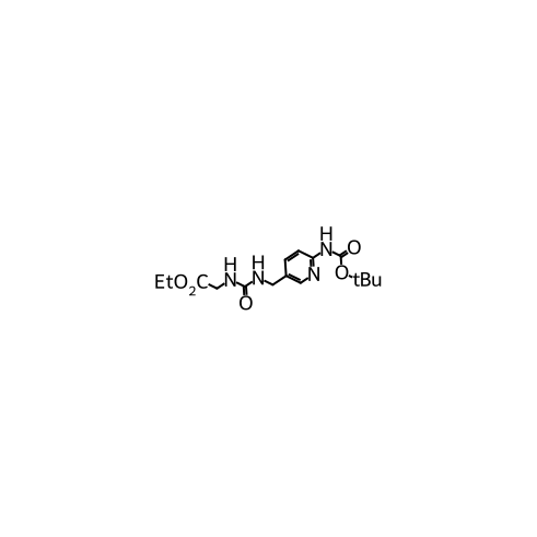 CCOC(=O)CNC(=O)NCc1ccc(NC(=O)OC(C)(C)C)nc1